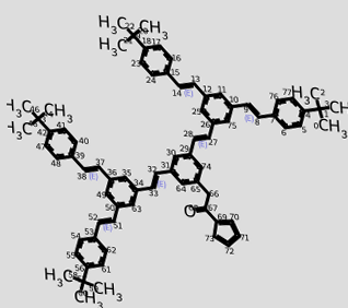 CC(C)(C)c1ccc(/C=C/c2cc(/C=C/c3ccc(C(C)(C)C)cc3)cc(/C=C/c3cc(/C=C/c4cc(/C=C/c5ccc(C(C)(C)C)cc5)cc(/C=C/c5ccc(C(C)(C)C)cc5)c4)cc(CC(=O)C4=C=C=C=C4)c3)c2)cc1